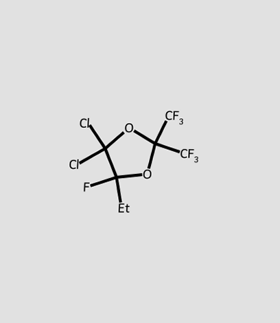 CCC1(F)OC(C(F)(F)F)(C(F)(F)F)OC1(Cl)Cl